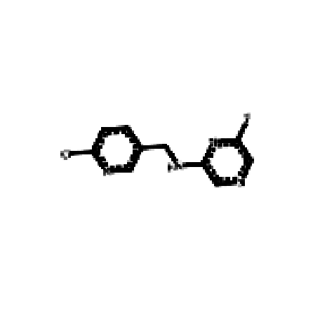 Fc1cncc(NCc2ccc(Cl)nc2)n1